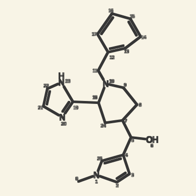 Cn1ccc(C(O)C2CCN(Cc3ccccc3)C(c3ncc[nH]3)C2)c1